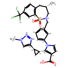 C[C@H]1Cc2ccc(C(F)(F)F)cc2S(=O)(=O)N(Cc2cccc(-n3ccc(C(=O)O)c3[C@@H]3C[C@H]3c3cn(C)nn3)c2)C1